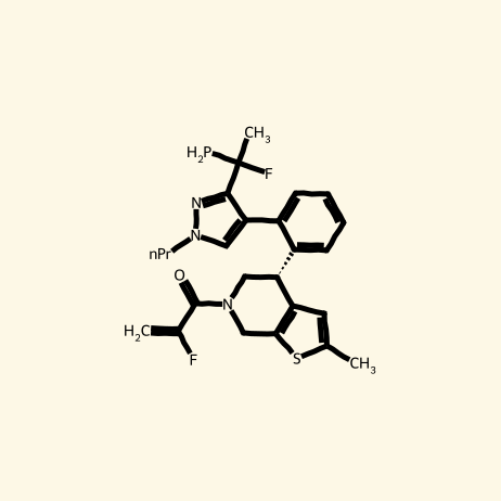 C=C(F)C(=O)N1Cc2sc(C)cc2[C@@H](c2ccccc2-c2cn(CCC)nc2C(C)(F)P)C1